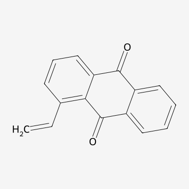 C=Cc1cccc2c1C(=O)c1ccccc1C2=O